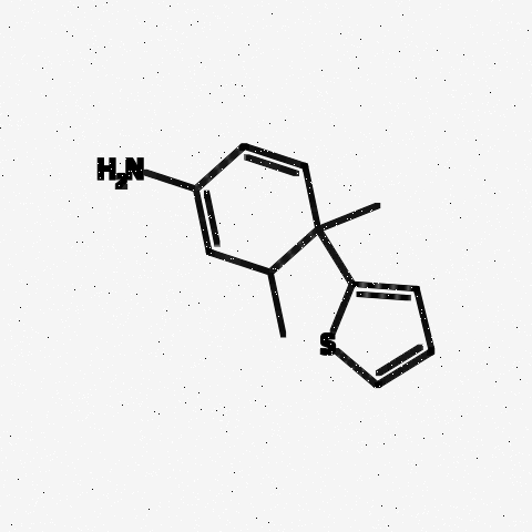 CC1C=C(N)C=CC1(C)c1cccs1